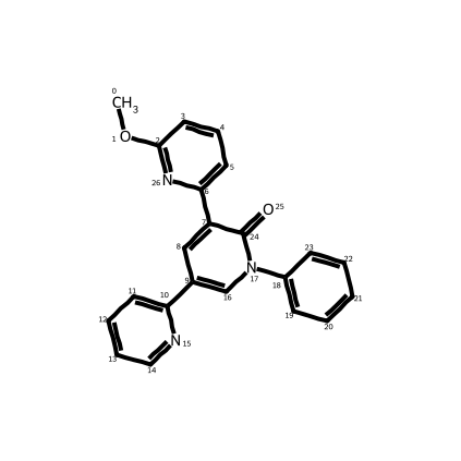 COc1cccc(-c2cc(-c3ccccn3)cn(-c3ccccc3)c2=O)n1